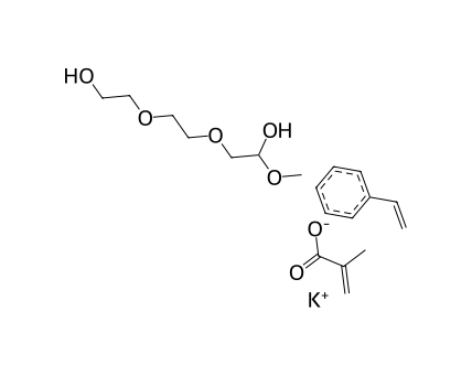 C=C(C)C(=O)[O-].C=Cc1ccccc1.COC(O)COCCOCCO.[K+]